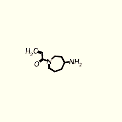 C=CC(=O)N1CCCC(N)CC1